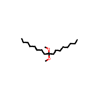 CCCCCCCCC(CCCCCCCC)(OC)OC